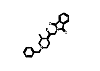 CC1CN(Cc2ccccc2)CC/C1=C(/F)CN1C(=O)c2ccccc2C1=O